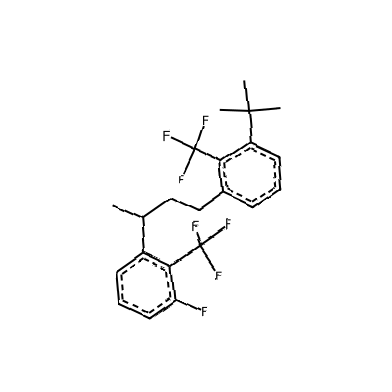 CC(CCc1cccc(C(C)(C)C)c1C(F)(F)F)c1cccc(F)c1C(F)(F)F